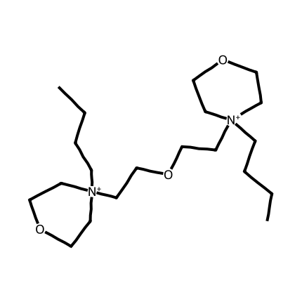 CCCC[N+]1(CCOCC[N+]2(CCCC)CCOCC2)CCOCC1